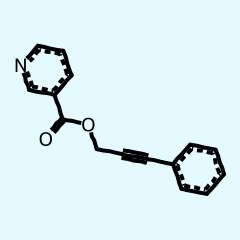 O=C(OCC#Cc1ccccc1)c1cccnc1